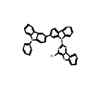 Cc1nc(-n2c3ccccc3c3ccc(-c4ccc5c(c4)c4ccccc4n5-c4ccccc4)cc32)nc2c1oc1ccccc12